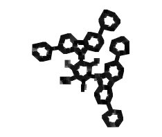 N#Cc1c(F)c(-n2c3ccc(-c4ccccc4)cc3c3ccc(-c4ccccc4)cc32)c(F)c(-n2c3ccc(-c4ccccc4)cc3c3ccc(-c4ccccc4)cc32)c1F